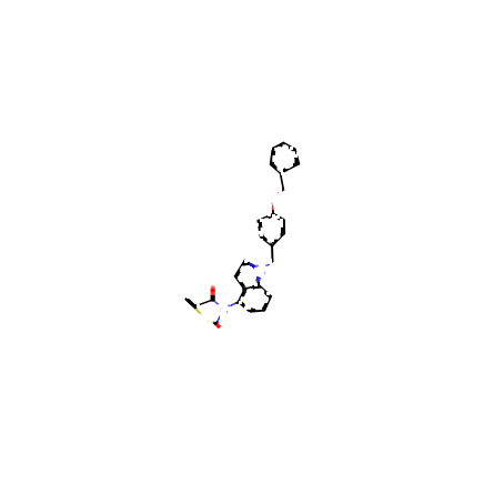 C=C1SC(=O)N(c2cccc3c2ccn3Cc2ccc(OCc3ccccc3)cc2)C1=O